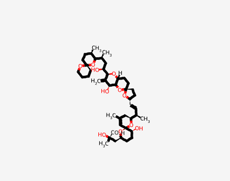 C=C1[C@@H](O)C2O[C@]3(CC[C@H](/C=C/[C@@H](C)[C@@H]4CC(C)=C[C@@]5(O[C@H](C[C@@](C)(O)C(=O)O)CC[C@H]5O)O4)O3)CC[C@H]2O[C@@H]1[C@@H](O)C[C@H](C)C1O[C@@]2(CCCCO2)CC[C@H]1C